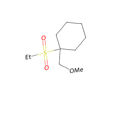 CCS(=O)(=O)C1(COC)CCCCC1